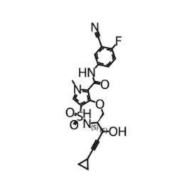 Cn1cc2c(c1C(=O)Nc1ccc(F)c(C#N)c1)OC[C@@H]([C@@H](O)C#CC1CC1)NS2(=O)=O